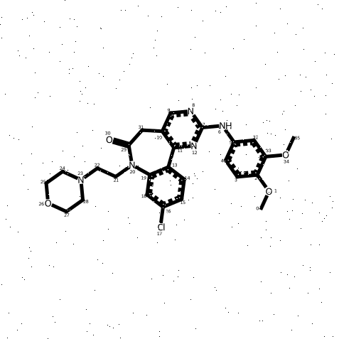 COc1ccc(Nc2ncc3c(n2)-c2ccc(Cl)cc2N(CCN2CCOCC2)C(=O)C3)cc1OC